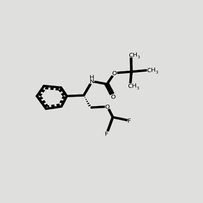 CC(C)(C)OC(=O)N[C@H](COC(F)F)c1ccccc1